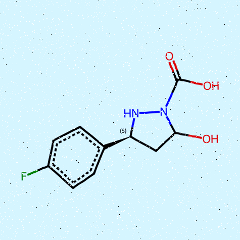 O=C(O)N1N[C@H](c2ccc(F)cc2)CC1O